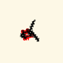 CCCCCCCCc1cc(CCCCCCCC)c(C(=O)O)cc1C(=O)O.O=C(O)c1cccc(C(=O)O)c1